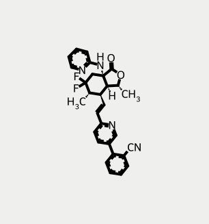 C[C@H]1OC(=O)[C@]2(Nc3ccccn3)CC(F)(F)[C@@H](C)[C@H](/C=C/c3ccc(-c4ccccc4C#N)cn3)[C@H]12